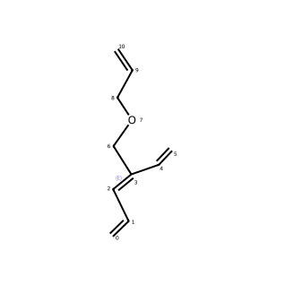 C=C/C=C(\C=C)COCC=C